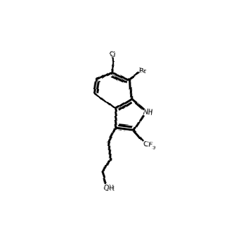 OCCCc1c(C(F)(F)F)[nH]c2c(Br)c(Cl)ccc12